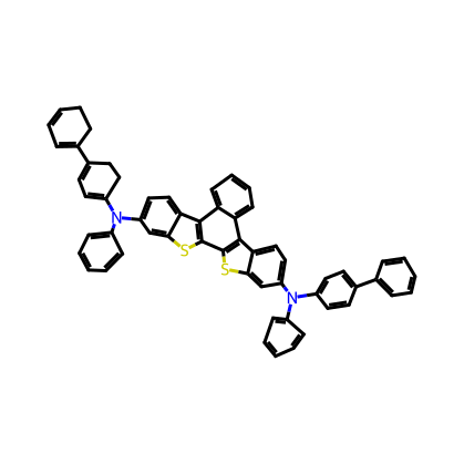 C1=CCCC(C2=CC=C(N(c3ccccc3)c3ccc4c(c3)sc3c5sc6cc(N(c7ccccc7)c7ccc(-c8ccccc8)cc7)ccc6c5c5ccccc5c43)CC2)=C1